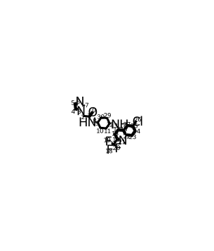 O=C(Cn1ccnc1)N[C@H]1CC[C@@H](Nc2cc(C(F)(F)F)nc3ccc(Cl)cc23)CC1